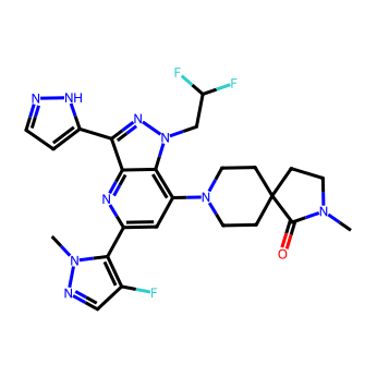 CN1CCC2(CCN(c3cc(-c4c(F)cnn4C)nc4c(-c5ccn[nH]5)nn(CC(F)F)c34)CC2)C1=O